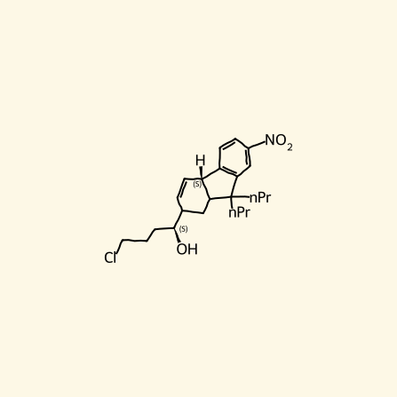 CCCC1(CCC)c2cc([N+](=O)[O-])ccc2[C@H]2C=CC([C@@H](O)CCCCl)CC21